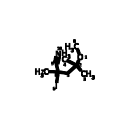 COC(C)(C)CC(C)(I)C#N